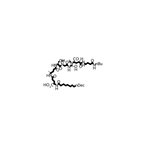 CCCCCCCCCCCCCCCCCC(=O)N[C@@H](CCC(=O)N[C@H](C)CCC(=O)N[C@@H](CO)C(=O)NCC(=O)N[C@@H](CO)N(F)[C@@H](CCC(=O)NCCCC(=O)NCCCC)C(=O)O)C(=O)O